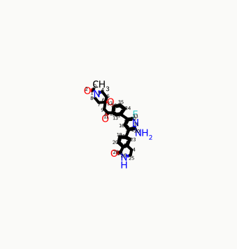 CC(=O)N1CCC2(CC1)CC(=O)c1cc(-c3cc(-c4ccc5c(c4)CCNC5=O)c(N)nc3F)ccc1O2